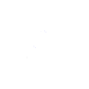 CC(N)CNC=O